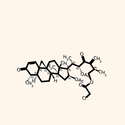 C=C(C(=O)[C@H](OC(C)=O)[C@@H](C)[C@H]1[C@@H](OC(C)=O)C[C@@]2(C)[C@@H]3CC[C@H]4[C@H](C)C(=O)C=C[C@@]45C[C@@]35CC[C@]12C)[C@@H](C)COC(=O)CCl